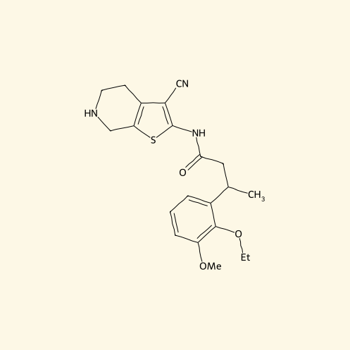 CCOc1c(OC)cccc1C(C)CC(=O)Nc1sc2c(c1C#N)CCNC2